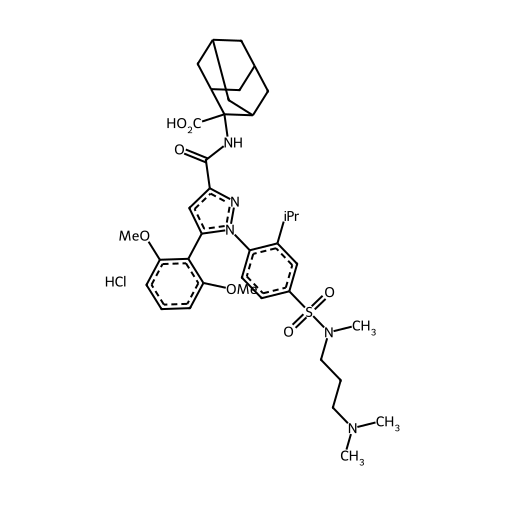 COc1cccc(OC)c1-c1cc(C(=O)NC2(C(=O)O)C3CC4CC(C3)CC2C4)nn1-c1ccc(S(=O)(=O)N(C)CCCN(C)C)cc1C(C)C.Cl